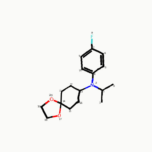 CC(C)N(c1ccc(F)cc1)C1CCC2(CC1)OCCO2